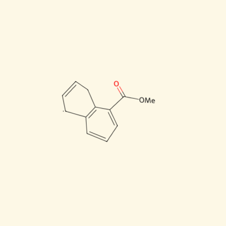 COC(=O)c1cccc2c1CC=C[CH]2